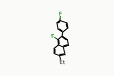 CCc1ccc2c(F)c(-c3ccc(F)cc3)ccc2c1